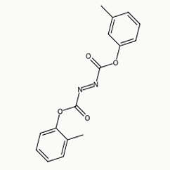 Cc1cccc(OC(=O)N=NC(=O)Oc2ccccc2C)c1